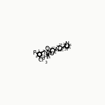 O=C(NCc1cc(F)cc(C(F)(F)F)c1)[C@@]1(C2CC2)CCC(N2CCC(c3cccnc3)CC2)CO1